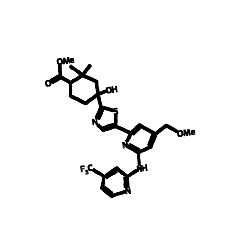 COCc1cc(Nc2cc(C(F)(F)F)ccn2)nc(-c2cnc(C3(O)CCC(C(=O)OC)C(C)(C)C3)s2)c1